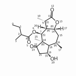 CCC(C)C(=O)O[C@H]1[C@@H]2[C@H](C)C(=O)O[C@@H]2C[C@@H](C)C2[C@@H](O)CC(=O)[C@]21C